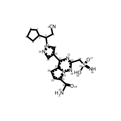 N#CCC(C1CCCC1)n1cc(-c2nc(CS(=N)(=O)O)nn3c(C(N)=O)ccc23)cn1